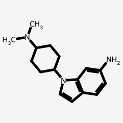 CN(C)C1CCC(n2ccc3ccc(N)cc32)CC1